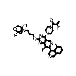 C=C(F)C(=O)N1CCN(c2nc(OCCCN3C[C@@H]4C[C@H]3CO4)nc3c(F)c(-c4cncc5cccc(C)c45)ncc23)CC1